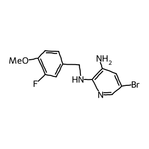 COc1ccc(CNc2ncc(Br)cc2N)cc1F